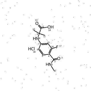 CNC(=O)c1ccc(NC(C)(C)C(=O)O)cc1F.Cl